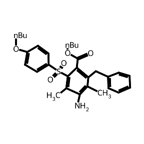 CCCCOC(=O)c1c(Cc2ccccc2)c(C)c(N)c(C)c1S(=O)(=O)c1ccc(OCCCC)cc1